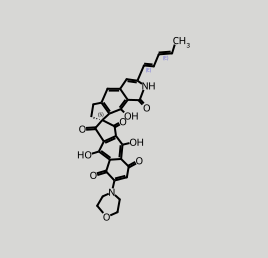 C/C=C/C=C/c1cc2cc3c(c(O)c2c(=O)[nH]1)[C@@]1(CC3)C(=O)c2c(O)c3c(c(O)c2C1=O)C(=O)C(N1CCOCC1)=CC3=O